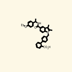 CCOc1ccc(C(C)NC(=O)c2ccc3c(c2)c(C)c(C)n3Cc2ccc(-c3ccccc3C(=O)O)cc2)cc1